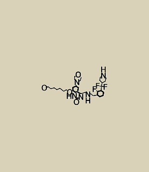 O=CCCCCCCOc1cc(N2CCOCC2)cc2c(CNCCc3cccc(C(F)(F)C4CCNCC4)c3F)nc(=O)[nH]c12